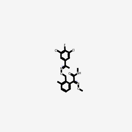 CNC(=O)/C(=N/OC)c1cccc(C)c1CO/N=C(\C)c1cc(Cl)c(F)c(Cl)c1